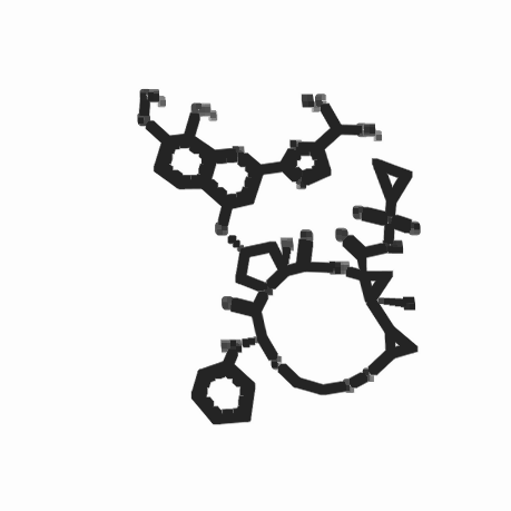 COc1ccc2c(O[C@@H]3C[C@H]4C(=O)N[C@]5(C(=O)NS(=O)(=O)C6CC6)C[C@H]5C5CC5CCCCC[C@H](Nc5ccccc5)C(=O)N4C3)cc(-c3nc(C(C)C)cs3)nc2c1C